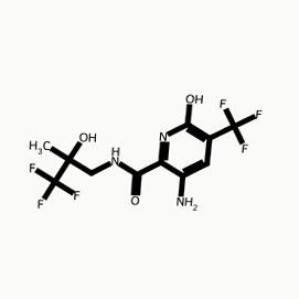 CC(O)(CNC(=O)c1nc(O)c(C(F)(F)F)cc1N)C(F)(F)F